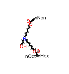 CCCCCCCCCC#CC(=O)OCCCCCCCN(CCCO)CCCCCCCOC(=O)C(CCCCCC)CCCCCCCC